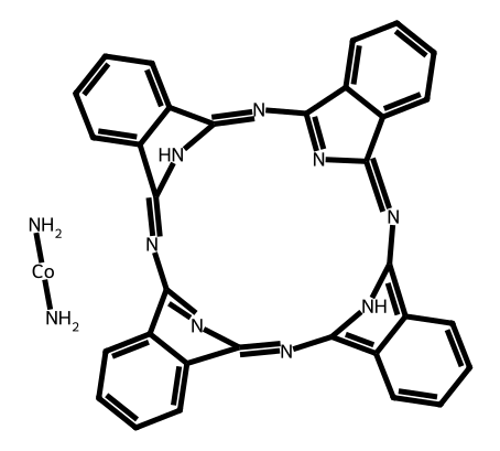 [NH2][Co][NH2].c1ccc2c(c1)-c1nc-2nc2[nH]c(nc3nc(nc4[nH]c(n1)c1ccccc41)-c1ccccc1-3)c1ccccc21